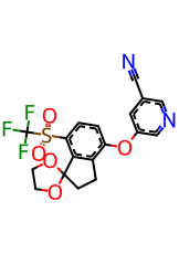 N#Cc1cncc(Oc2ccc(S(=O)(=O)C(F)(F)F)c3c2CCC32OCCO2)c1